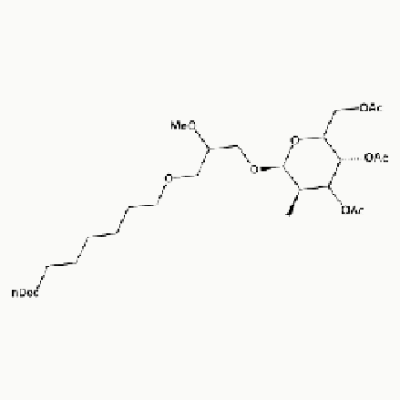 CCCCCCCCCCCCCCCCOCC(CO[C@H]1OC(COC(C)=O)[C@H](OC(C)=O)C(OC(C)=O)[C@H]1C)OC